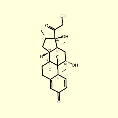 C[C@H]1C[C@H]2[C@@H]3CCC4=CC(=O)C=C[C@]4(C)C3(Cl)[C@@H](O)C[C@]2(C)[C@@]1(O)C(=O)CO